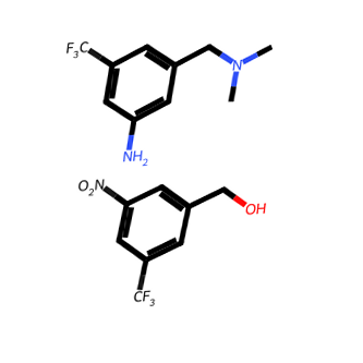 CN(C)Cc1cc(N)cc(C(F)(F)F)c1.O=[N+]([O-])c1cc(CO)cc(C(F)(F)F)c1